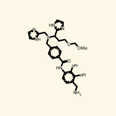 CCCc1c(CN)ccc(NC(=O)c2ccc(CN(Cc3ncc[nH]3)C(CCOCOC)c3ncc[nH]3)cc2)c1CCC